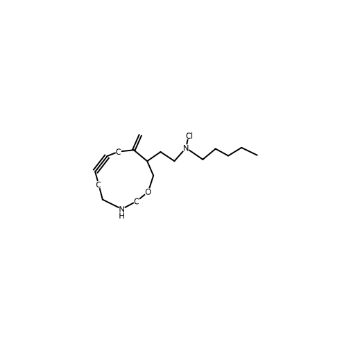 C=C1CC#CCCNCOCC1CCN(Cl)CCCCC